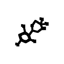 [2H]c1cc([2H])c(C2CNC([2H])([2H])CO2)c([2H])c1